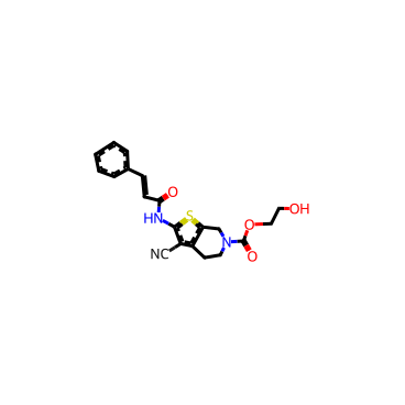 N#Cc1c(NC(=O)C=Cc2ccccc2)sc2c1CCN(C(=O)OCCO)C2